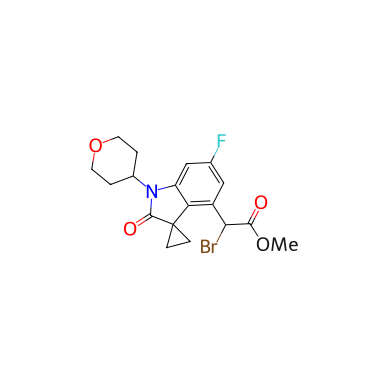 COC(=O)C(Br)c1cc(F)cc2c1C1(CC1)C(=O)N2C1CCOCC1